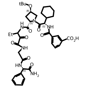 CCC(NC(=O)[C@@H]1C[C@@H](OC(C)(C)C)CN1C(=O)[C@@H](NC(=O)c1cccc(C(=O)O)c1)C1CCCCC1)C(=O)C(=O)NCC(=O)N[C@H](C(N)=O)c1ccccc1